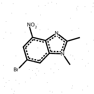 Cc1nc2c([N+](=O)[O-])cc(Br)cc2n1C